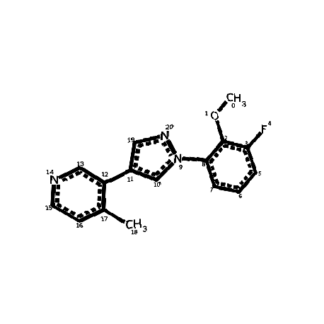 COc1c(F)cccc1-n1cc(-c2cnccc2C)cn1